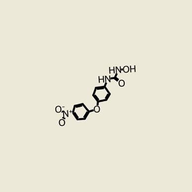 O=C(NO)Nc1ccc(Oc2ccc([N+](=O)[O-])cc2)cc1